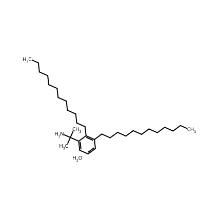 CCCCCCCCCCCCc1cccc(C(C)(C)N)c1CCCCCCCCCCCC.O